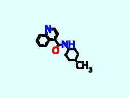 CC1CCC(NC(=O)c2ccnc3ccccc23)CC1